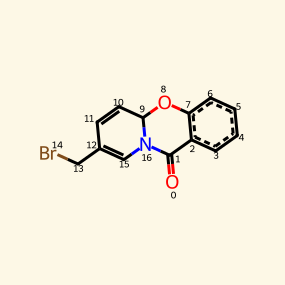 O=C1c2ccccc2OC2C=CC(CBr)=CN12